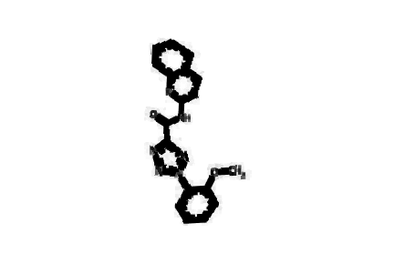 COc1ccccc1-n1nnc(C(=O)Nc2ccc3ccccc3n2)n1